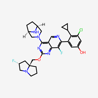 Oc1cc(Cl)c(C2CC2)c(-c2ncc3c(N4C[C@H]5CC[C@@H](C4)N5)nc(OC[C@@]45CCCN4C[C@H](F)C5)nc3c2F)c1